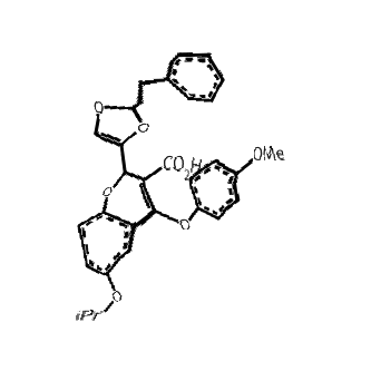 COc1ccc(OC2=C(C(=O)O)C(C3=COC(Cc4ccccc4)O3)Oc3ccc(OC(C)C)cc32)cc1